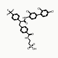 O=C(NCCS(=O)(=O)O)c1ccc(CC(C(=O)Nc2ccc(-c3ccc(Cl)cc3Cl)cc2Cl)c2ccc(C(F)(F)F)cc2)cc1